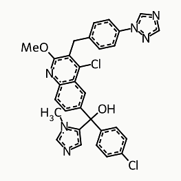 COc1nc2ccc(C(O)(c3ccc(Cl)cc3)c3cncn3C)cc2c(Cl)c1Cc1ccc(-n2cncn2)cc1